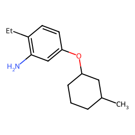 CCc1ccc(OC2CCCC(C)C2)cc1N